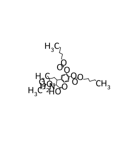 CCCCCOC(=O)Oc1ccc(C(CC(C)OC(=O)CC)[C@H](N)C(=O)O)cc1OC(=O)OCCCCC